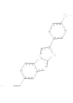 O=C(O)Cc1ccc2c(c1)sc1nc(-c3ccc([N+](=O)[O-])cc3)cn12